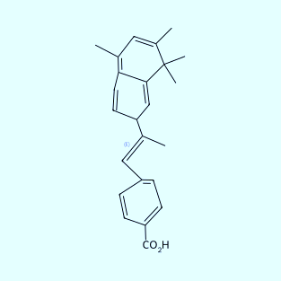 CC1=CC(C)=C2C=CC(/C(C)=C/c3ccc(C(=O)O)cc3)C=C2C1(C)C